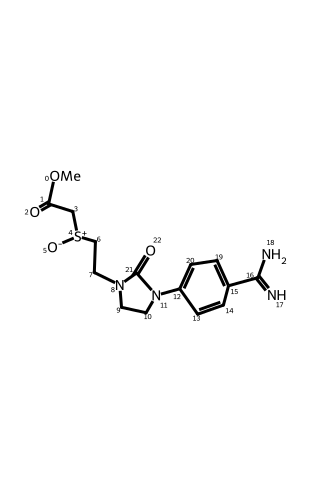 COC(=O)C[S+]([O-])CCN1CCN(c2ccc(C(=N)N)cc2)C1=O